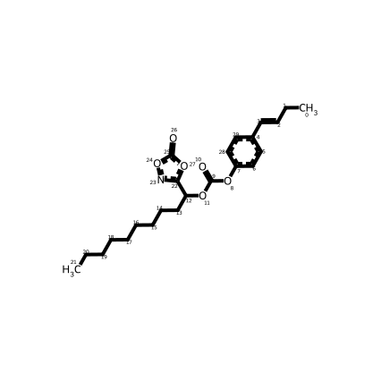 CCC=Cc1ccc(OC(=O)OC(CCCCCCCCC)c2noc(=O)o2)cc1